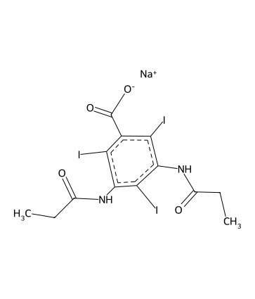 CCC(=O)Nc1c(I)c(NC(=O)CC)c(I)c(C(=O)[O-])c1I.[Na+]